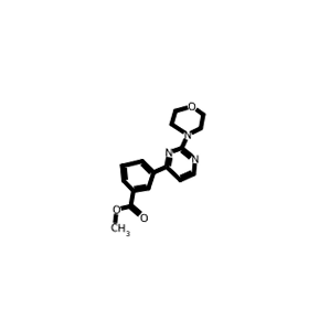 COC(=O)c1cccc(-c2ccnc(N3CCOCC3)n2)c1